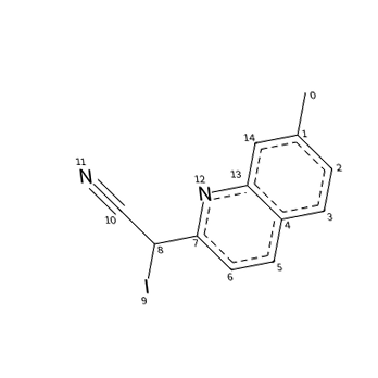 Cc1ccc2ccc(C(I)C#N)nc2c1